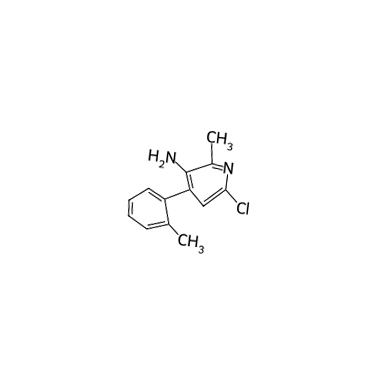 Cc1ccccc1-c1cc(Cl)nc(C)c1N